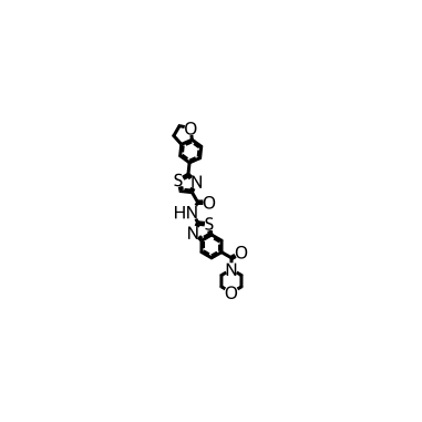 O=C(Nc1nc2ccc(C(=O)N3CCOCC3)cc2s1)c1csc(-c2ccc3c(c2)CCO3)n1